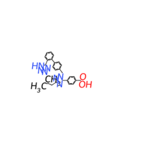 CC(C)Cc1nc(-c2ccc(C(=O)O)cc2)n(Cc2ccc(-c3ccccc3-c3nnn[nH]3)cc2)n1